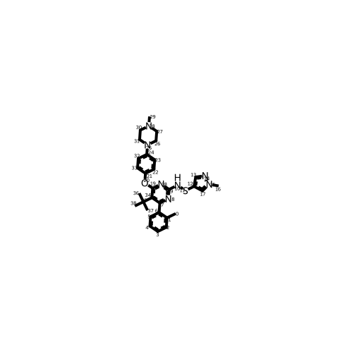 Cc1ccccc1-c1nc(NSc2cnn(C)c2)nc(Oc2ccc(N3CCN(C)CC3)cc2)c1C(C)(C)C